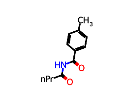 CCCC(=O)NC(=O)c1ccc(C)cc1